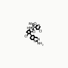 COc1ncc(Cl)cc1S(=O)(=O)Nc1ccc(Cl)c(-c2ccc3nc(N)ncc3c2)c1Cl